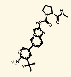 CNC(=O)[C@@H]1CCCN1C(=O)Nc1cn2cc(-c3cnc(N)c(C(F)(F)F)c3)ccc2n1